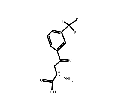 N[C@@H](CC(=O)c1cccc(C(F)(F)F)c1)C(=O)O